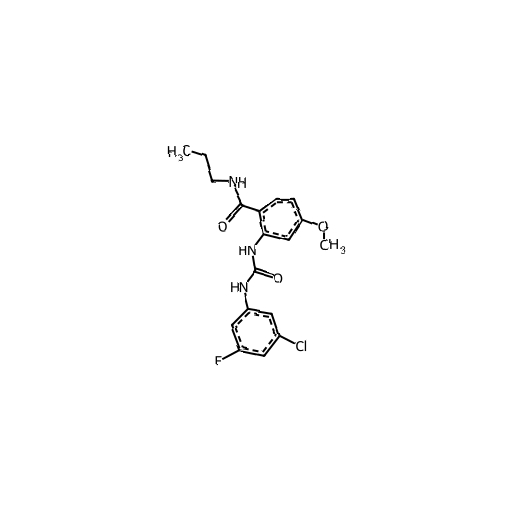 CCCNC(=O)c1ccc(OC)cc1NC(=O)Nc1cc(F)cc(Cl)c1